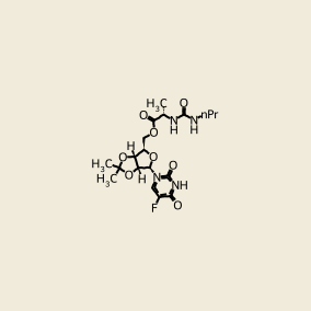 CCCNC(=O)N[C@@H](C)C(=O)OC[C@H]1O[C@@H](n2cc(F)c(=O)[nH]c2=O)[C@@H]2OC(C)(C)O[C@@H]21